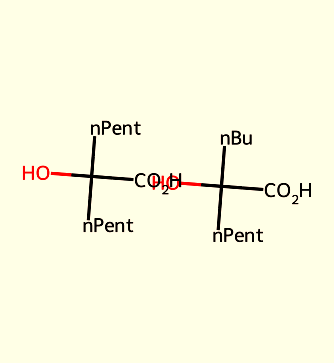 CCCCCC(O)(CCCC)C(=O)O.CCCCCC(O)(CCCCC)C(=O)O